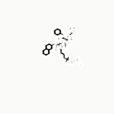 CN(C)CCN(C)C(=O)[C@@H](Cc1ccccc1)N(C)C(=O)[C@@H](Cc1ccc2ccccc2c1)N(C)C(=O)C=CCC(C)(C)N